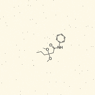 CCCC(CC(=O)Nc1ccccc1)(OC)OC